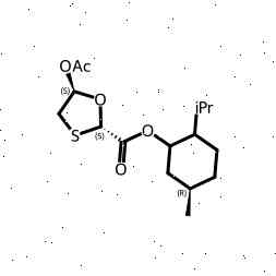 CC(=O)O[C@@H]1CS[C@@H](C(=O)OC2C[C@H](C)CCC2C(C)C)O1